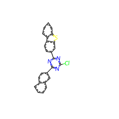 Clc1nc(-c2ccc3ccccc3c2)nc(-c2ccc3c(c2)sc2ccccc23)n1